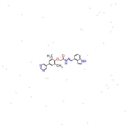 Cc1cc(-c2cncnc2)cc(C)c1OCC(=O)NN=Cc1cccc2[nH]ccc12